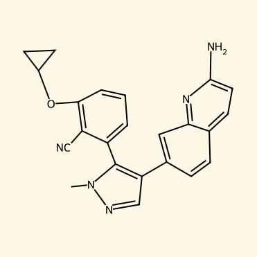 Cn1ncc(-c2ccc3ccc(N)nc3c2)c1-c1cccc(OC2CC2)c1C#N